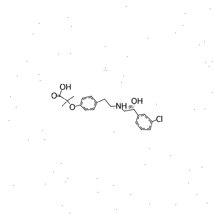 CC(C)(Oc1ccc(CCNC[C@H](O)c2cccc(Cl)c2)cc1)C(=O)O